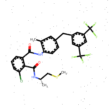 CSC[C@H](C)NC(=O)c1c(Cl)cccc1C(=O)Nc1ccc(Cc2cc(C(F)(F)F)cc(C(F)(F)F)c2)cc1C